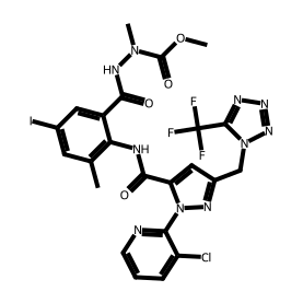 COC(=O)N(C)NC(=O)c1cc(I)cc(C)c1NC(=O)c1cc(Cn2nnnc2C(F)(F)F)nn1-c1ncccc1Cl